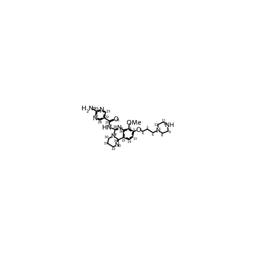 COc1c(OCCCN2CCNCC2)ccc2c1N=C(NC(=O)c1cnc(N)nc1)N1CCCN=C21